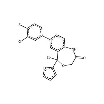 CCC1(c2ccco2)OCC(=O)Nc2ccc(-c3ccc(F)c(Cl)c3)cc21